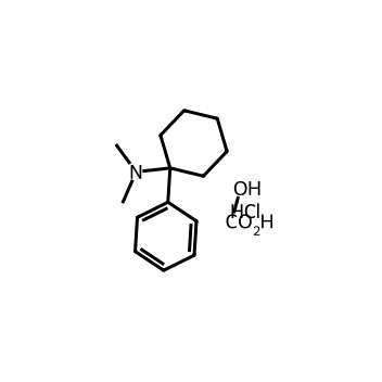 CN(C)C1(c2ccccc2)CCCCC1.Cl.O=C(O)O